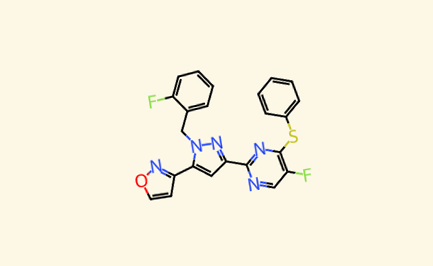 Fc1ccccc1Cn1nc(-c2ncc(F)c(Sc3ccccc3)n2)cc1-c1ccon1